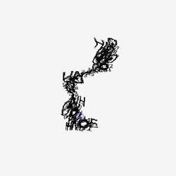 Cc1[nH]c(/C=C2\C(=O)Nc3ccc(F)cc32)c(C)c1C(=O)NCCCN1CCN(CC(=O)NCCCCCOc2cccc3c2C(=O)N(C2CCC(=O)NC2=O)C3=O)CC1